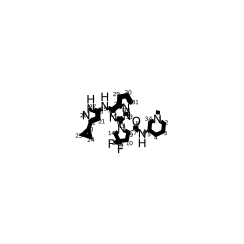 CN1CCC[C@@H](NC(=O)[C@@H]2CC(F)(F)CN2c2nc(Nc3cc(C4CC4)n[nH]3)c3cccn3n2)C1